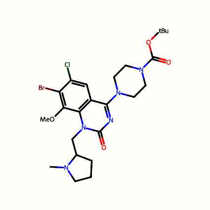 COc1c(Br)c(Cl)cc2c(N3CCN(C(=O)OC(C)(C)C)CC3)nc(=O)n(CC3CCCN3C)c12